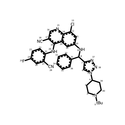 CC(C)(C)N1CCC(n2cc(C(Nc3cc(Cl)c4ncc(C#N)c(Nc5ccc(F)cc5C#N)c4c3)c3ccccc3)nn2)CC1